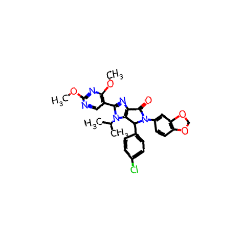 COc1ncc(-c2nc3c(n2C(C)C)C(c2ccc(Cl)cc2)N(c2ccc4c(c2)OCO4)C3=O)c(OC)n1